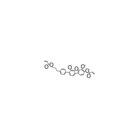 C=CC(=O)OCCCc1ccc(-c2ccc3c(oc4c(OC)c(OC(=O)C=C)ccc43)c2OC)cc1